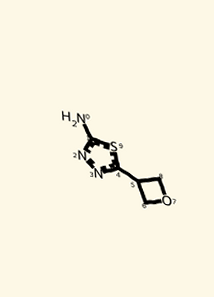 Nc1nnc(C2COC2)s1